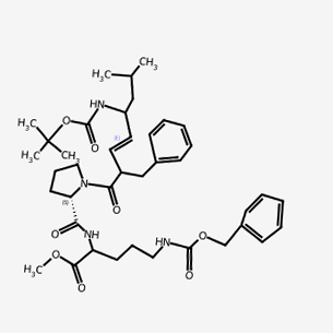 COC(=O)C(CCCNC(=O)OCc1ccccc1)NC(=O)[C@@H]1CCCN1C(=O)C(/C=C/C(CC(C)C)NC(=O)OC(C)(C)C)Cc1ccccc1